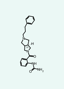 NC(=O)Nc1ccccc1C(=O)N1CC2CN(CC[CH]c3ccccc3)C[C@H]2C1